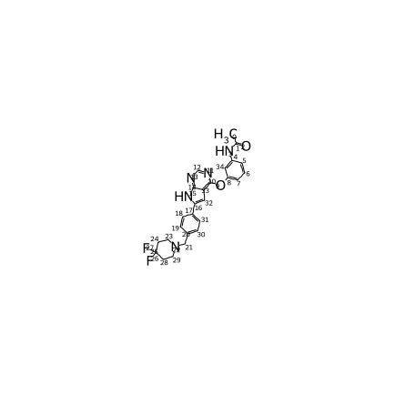 CC(=O)Nc1cccc(Oc2ncnc3[nH]c(-c4ccc(CN5CCC(F)(F)CC5)cc4)cc23)c1